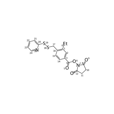 CCc1cc(C(=O)ON2C(=O)CCC2=O)ccc1CSSc1ccccn1